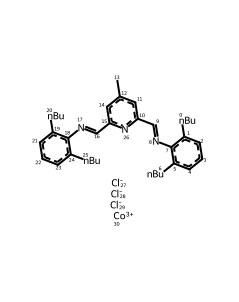 CCCCc1cccc(CCCC)c1N=Cc1cc(C)cc(C=Nc2c(CCCC)cccc2CCCC)n1.[Cl-].[Cl-].[Cl-].[Co+3]